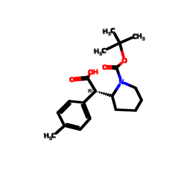 Cc1ccc([C@H](C(=O)O)C2CCCCN2C(=O)OC(C)(C)C)cc1